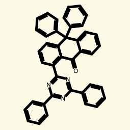 O=C1c2ccccc2C(c2ccccc2)(c2ccccc2)c2cccc(-c3nc(-c4ccccc4)nc(-c4ccccc4)n3)c21